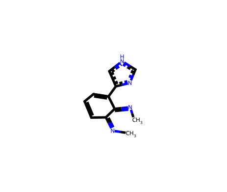 C/N=C1/C=CC=C(c2c[nH]cn2)/C1=N/C